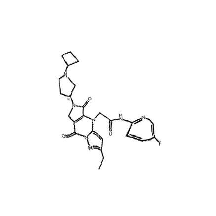 CCc1cc2n(CC(=O)Nc3ccc(F)cn3)c3c(c(=O)n2n1)CN([C@H]1CCN(C2CCC2)C1)C3=O